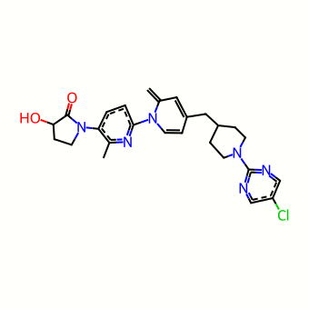 C=C1C=C(CC2CCN(c3ncc(Cl)cn3)CC2)C=CN1c1ccc(N2CCC(O)C2=O)c(C)n1